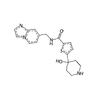 O=C(NCc1ccn2ccnc2c1)c1ccc(C2(O)CCNCC2)s1